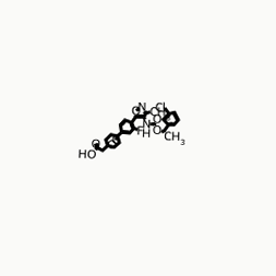 Cc1noc(-c2ccc(C34CCC(CC(=O)O)(CC3)OC4)cc2F)c1NC(=O)OC(C)c1cccc(Cl)c1